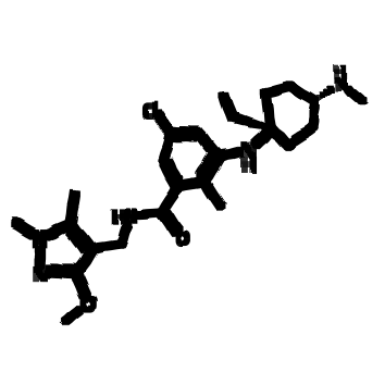 CC[C@]1(Nc2cc(Cl)cc(C(=O)NCc3c(OC)nn(C)c3C)c2C)CC[C@@H](NC)CC1